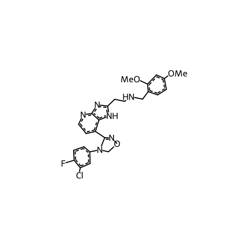 COc1ccc(CNCCc2nc3nccc(C4=NOCN4c4ccc(F)c(Cl)c4)c3[nH]2)c(OC)c1